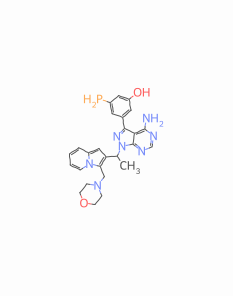 CC(c1cc2ccccn2c1CN1CCOCC1)n1nc(-c2cc(O)cc(P)c2)c2c(N)ncnc21